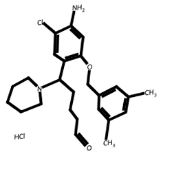 Cc1cc(C)cc(COc2cc(N)c(Cl)cc2C(CCCC=O)N2CCCCC2)c1.Cl